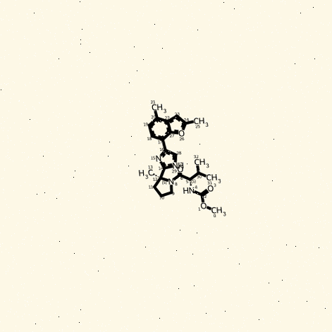 COC(=O)N[C@H](C(=O)N1CCC[C@@]1(C)c1nc(-c2ccc(C)c3cc(C)oc23)c[nH]1)C(C)C